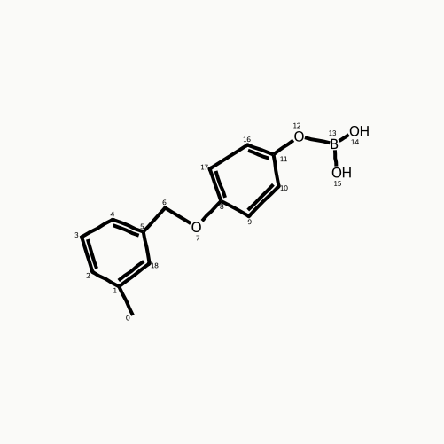 Cc1cccc(COc2ccc(OB(O)O)cc2)c1